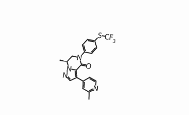 Cc1cc(-c2cnn3c2C(=O)N(c2ccc(SC(F)(F)F)cc2)C[C@@H]3C)ccn1